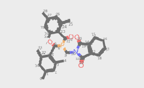 CC1=CC(C)=C(C(=O)P(CN2C(=O)C3=C(CCC=C3)C2=O)C(=O)c2c(C)cc(C)cc2C)C(C)C1